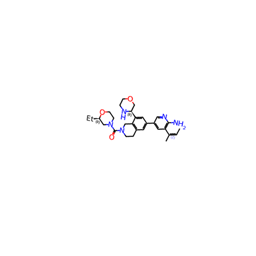 C/C=C(/C)c1cc(-c2cc3c(c([C@@H]4COCCN4)c2)CN(C(=O)N2CCO[C@H](CC)C2)CC3)cnc1N